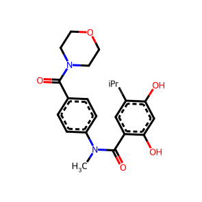 CC(C)c1cc(C(=O)N(C)c2ccc(C(=O)N3CCOCC3)cc2)c(O)cc1O